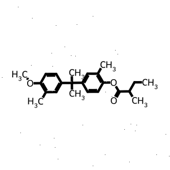 CCC(C)C(=O)Oc1ccc(C(C)(C)c2ccc(OC)c(C)c2)cc1C